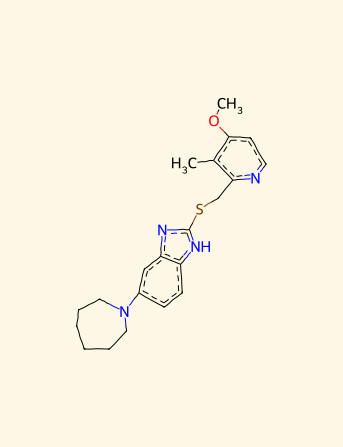 COc1ccnc(CSc2nc3cc(N4CCCCCC4)ccc3[nH]2)c1C